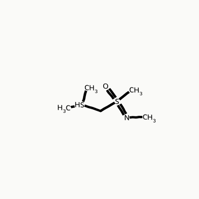 CN=S(C)(=O)C[SH](C)C